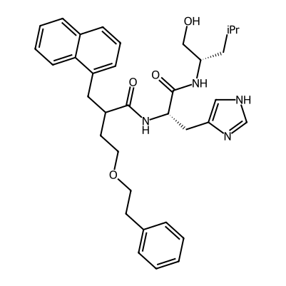 CC(C)C[C@@H](CO)NC(=O)[C@H](Cc1c[nH]cn1)NC(=O)C(CCOCCc1ccccc1)Cc1cccc2ccccc12